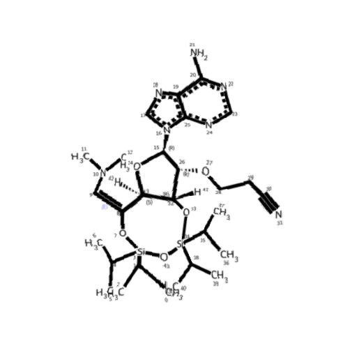 CC(C)[Si]1(C(C)C)O/C(=C/N(C)C)[C@H]2O[C@@H](n3cnc4c(N)ncnc43)[C@H](OCCC#N)[C@@H]2O[Si](C(C)C)(C(C)C)O1